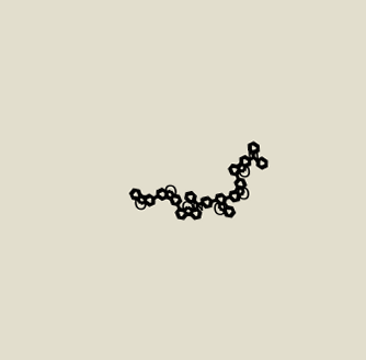 c1ccc(N(c2ccccc2)c2ccc3c(c2)oc2c(-c4ccc5oc6ccc(-c7ccc(-c8ccc(N(c9ccccc9)c9cccc%10c9oc9c(-c%11ccc%12oc%13ccc(-c%14ccc%15oc%16ccccc%16c%15c%14)cc%13c%12c%11)cccc9%10)cc8)c8oc9ccccc9c78)cc6c5c4)cccc23)cc1